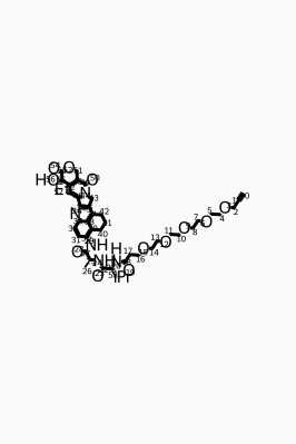 C#CCOCCOCCOCCOCCOCCC(=O)N[C@H](C(=O)N[C@@H](C)C(=O)Nc1ccc2nc3c(c4c2c1CCC4)Cn1c-3cc2c(c1=O)COC(=O)[C@]2(O)CC)C(C)C